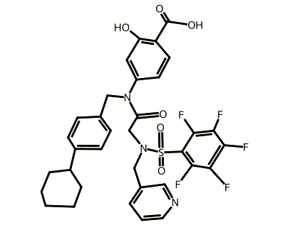 O=C(O)c1ccc(N(Cc2ccc(C3CCCCC3)cc2)C(=O)CN(Cc2cccnc2)S(=O)(=O)c2c(F)c(F)c(F)c(F)c2F)cc1O